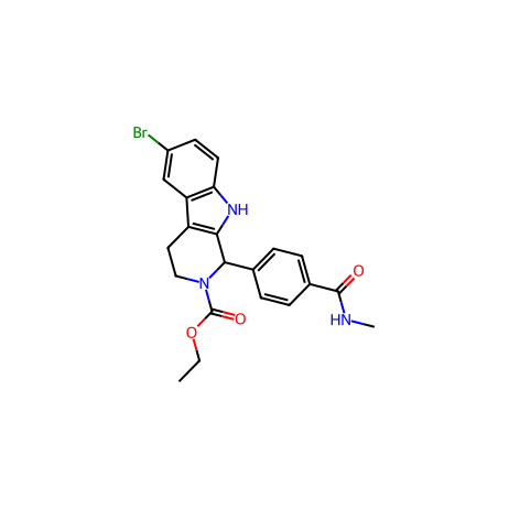 CCOC(=O)N1CCc2c([nH]c3ccc(Br)cc23)C1c1ccc(C(=O)NC)cc1